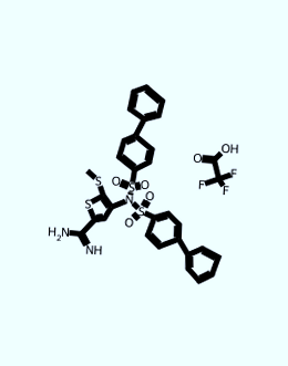 CSc1sc(C(=N)N)cc1N(S(=O)(=O)c1ccc(-c2ccccc2)cc1)S(=O)(=O)c1ccc(-c2ccccc2)cc1.O=C(O)C(F)(F)F